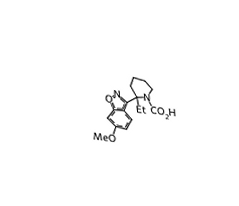 CCC1(c2noc3cc(OC)ccc23)CCCCN1C(=O)O